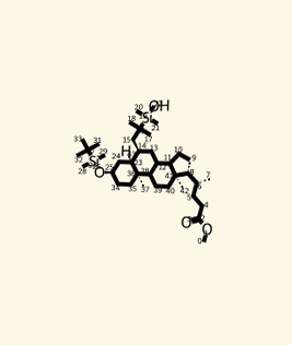 COC(=O)CC[C@@H](C)[C@H]1CCC2C3C[C@H](CC(C)(C)[Si](C)(C)O)[C@@H]4C[C@H](O[Si](C)(C)C(C)(C)C)CC[C@]4(C)C3CC[C@@]21C